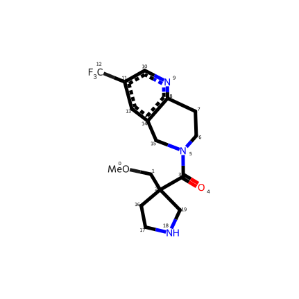 COCC1(C(=O)N2CCc3ncc(C(F)(F)F)cc3C2)CCNC1